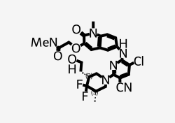 CNC(=O)COc1cc2cc(Nc3nc(N4C[C@@H](CCO)C(F)(F)[C@@H](C)C4)c(C#N)cc3Cl)ccc2n(C)c1=O